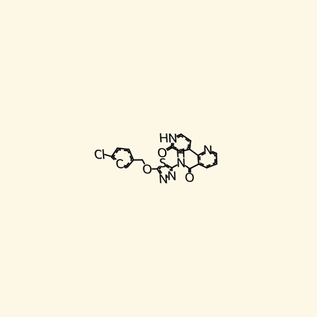 O=C(Nc1nnc(OCc2ccc(Cl)cc2)s1)c1cccnc1-c1cc[nH]c(=O)c1